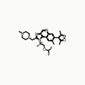 Cc1cc2c(cc1-c1c(C)noc1C)ncc1nc(CN3CCN(C)CC3)n([C@H](C)COC(F)F)c12